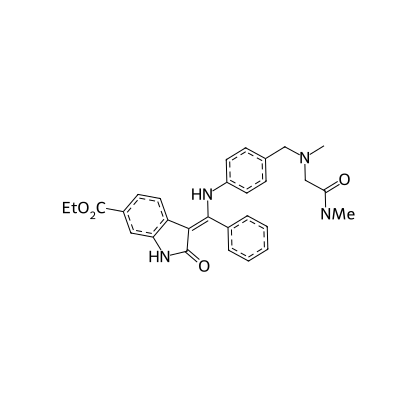 CCOC(=O)c1ccc2c(c1)NC(=O)C2=C(Nc1ccc(CN(C)CC(=O)NC)cc1)c1ccccc1